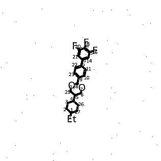 CCC1CCC(C2COC(c3ccc(-c4cc(F)c(F)c(F)c4)cc3)OC2)CC1